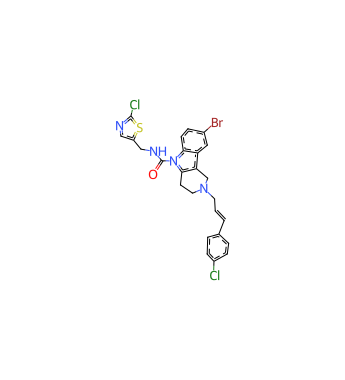 O=C(NCc1cnc(Cl)s1)n1c2c(c3cc(Br)ccc31)CN(CC=Cc1ccc(Cl)cc1)CC2